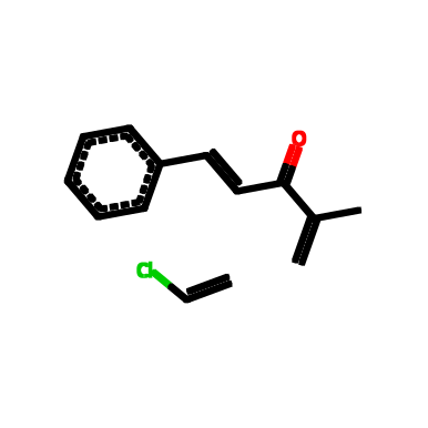 C=C(C)C(=O)C=Cc1ccccc1.C=CCl